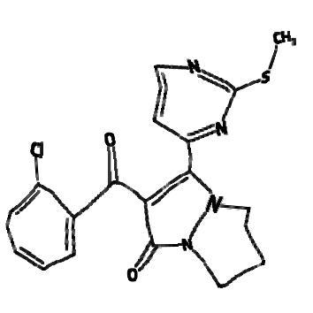 CSc1nccc(-c2c(C(=O)c3ccccc3Cl)c(=O)n3n2CCC3)n1